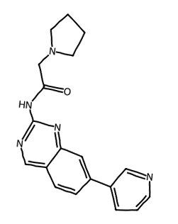 O=C(CN1CCCC1)Nc1ncc2ccc(-c3cccnc3)cc2n1